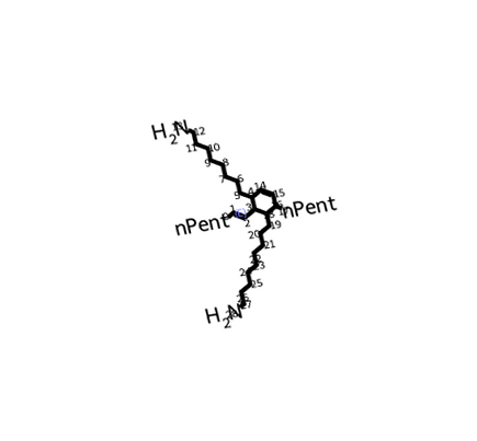 CCCCC/C=C/C1C(CCCCCCCCN)C=CC(CCCCC)C1CCCCCCCCCN